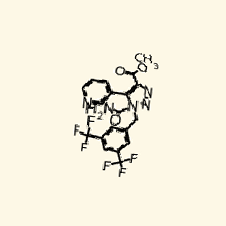 COC(=O)C1=C(c2cccnc2)[N+](Cc2cc(C(F)(F)F)cc(C(F)(F)F)c2)(C(N)=O)N=N1